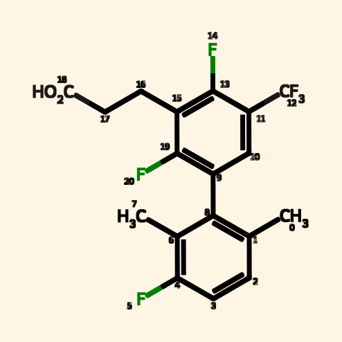 Cc1ccc(F)c(C)c1-c1cc(C(F)(F)F)c(F)c(CCC(=O)O)c1F